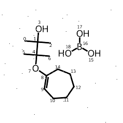 CC(C)(O)C(C)(C)OC1=CCCCCC1.OB(O)O